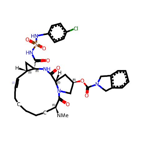 CN[C@H]1CCCCC/C=C\[C@@H]2C[C@@]2(C(=O)NS(=O)(=O)Nc2ccc(Cl)cc2)NC(=O)[C@@H]2C[C@@H](OC(=O)N3Cc4ccccc4C3)CN2C1=O